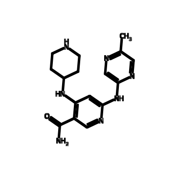 Cc1cnc(Nc2cc(NC3CCNCC3)c(C(N)=O)cn2)cn1